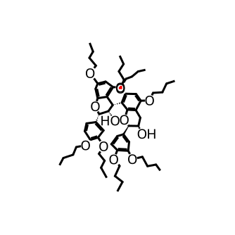 CCCCOc1cc(OCCCC)c2c(c1)O[C@@H](c1ccc(OCCCC)c(OCCCC)c1)[C@@H](O)[C@H]2c1c(OCCCC)cc(OCCCC)c2c1O[C@H](c1ccc(OCCCC)c(OCCCC)c1)[C@H](O)C2